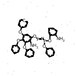 Nc1ccccc1OP(N=POc1cc(Oc2ccccc2)c(Oc2ccccc2)c(Oc2ccccc2)c1N)Oc1ccccc1